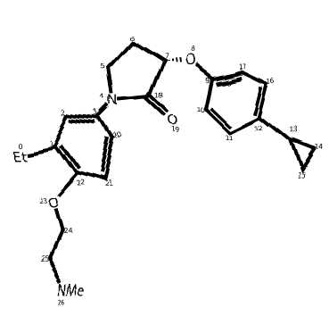 CCc1cc(N2CC[C@H](Oc3ccc(C4CC4)cc3)C2=O)ccc1OCCNC